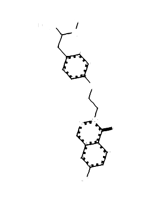 CCOC(=O)C(Cc1ccc(OCCn2ncc3cc(Cl)ccc3c2=O)cc1)OCC